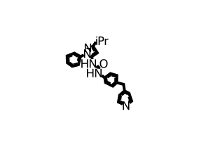 CC(C)c1cc(NC(=O)Nc2ccc(Cc3ccncc3)cc2)n(-c2ccccc2)n1